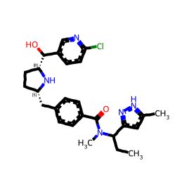 CCC(c1cc(C)[nH]n1)N(C)C(=O)c1ccc(C[C@@H]2CC[C@H](C(O)c3ccc(Cl)nc3)N2)cc1